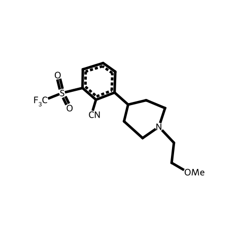 COCCN1CCC(c2cccc(S(=O)(=O)C(F)(F)F)c2C#N)CC1